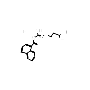 CC(C)CCON=C(N)NC(=O)c1cccc2ccccc12.Cl